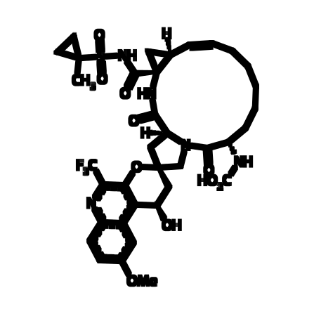 COc1ccc2nc(C(F)(F)F)c3c(c2c1)[C@H](O)C[C@]1(C[C@H]2C(=O)N[C@]4(C(=O)NS(=O)(=O)C5(C)CC5)C[C@H]4C=CCCCCC[C@H](NC(=O)O)C(=O)N2C1)O3